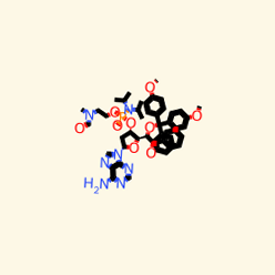 COc1ccc(C(OC(C(=O)c2ccccc2)[C@H]2O[C@@H](n3cnc4c(N)ncnc43)C[C@@H]2OP(=O)(OCCN(C)C=O)N(C(C)C)C(C)C)(c2ccccc2)c2ccc(OC)cc2)cc1